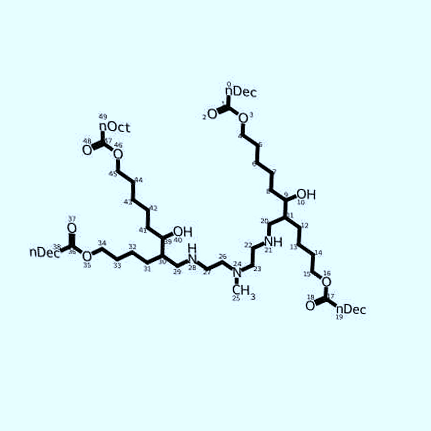 CCCCCCCCCCC(=O)OCCCCCC(O)C(CCCCOC(=O)CCCCCCCCCC)CNCCN(C)CCNCC(CCCCOC(=O)CCCCCCCCCC)C(O)CCCCCOC(=O)CCCCCCCC